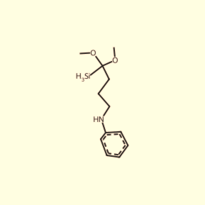 COC([SiH3])(CCCNc1ccccc1)OC